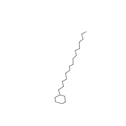 [CH2]CCCCCCCCCCCCCCCC1CCCCC1